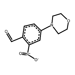 O=Cc1ccc(N2CCOCC2)cc1[N+](=O)[O-]